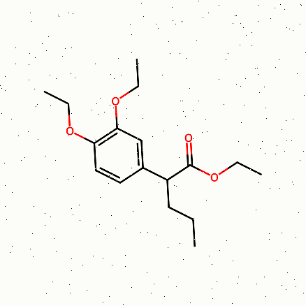 CCCC(C(=O)OCC)c1ccc(OCC)c(OCC)c1